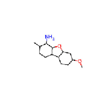 COC1CCC2C(C1)OC1C(N)C(C)CCC21